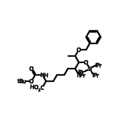 CCCC(CCCCC(NC(=O)OC(C)(C)C)C(=O)O)C(O[Si](C(C)C)(C(C)C)C(C)C)C(C)OCc1ccccc1